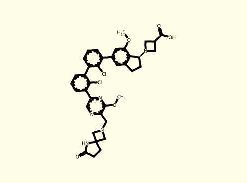 COc1cc(-c2cccc(-c3cccc(-c4cnc(CN5CC6(CCC(=O)N6)C5)c(OC)n4)c3Cl)c2Cl)cc2c1[C@@H](N1CC(C(=O)O)C1)CC2